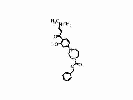 CN(C)/C=C/C(=O)c1ccc(N2CCCN(C(=O)OCc3ccccc3)CC2)cc1O